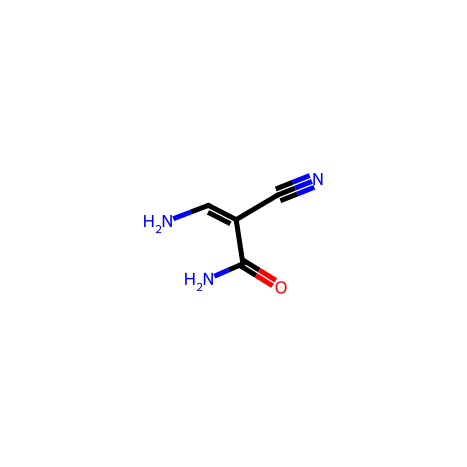 N#CC(=CN)C(N)=O